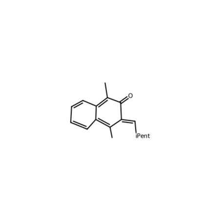 CCCC(C)C=C1C(=O)C(C)=c2ccccc2=C1C